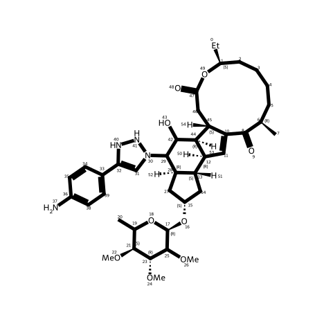 CC[C@H]1CCCC[C@@H](C)C(=O)C2=C[C@H]3[C@@H]4C[C@H](O[C@@H]5OC(C)[C@H](OC)[C@@H](OC)C5OC)C[C@H]4C(N4C=C(c5ccc(N)cc5)NN4)C(O)[C@H]3[C@@H]2CC(=O)O1